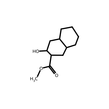 COC(=O)C1CC2CCCCC2CC1O